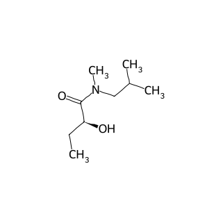 CC[C@H](O)C(=O)N(C)CC(C)C